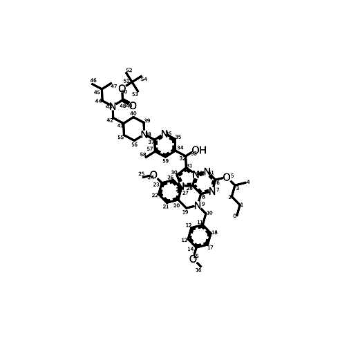 CCCC(C)Oc1nc(N(Cc2ccc(OC)cc2)Cc2ccc(OC)cc2)c2ncc(C(O)c3cnc(N4CCC(CN(CC(C)C)C(=O)OC(C)(C)C)CC4)c(C)c3)n2n1